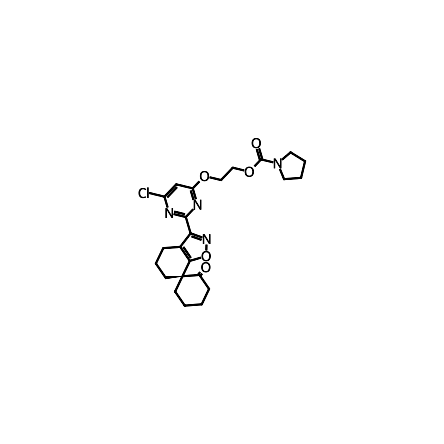 O=C(OCCOc1cc(Cl)nc(-c2noc3c2CCC[C@@]32CCCCC2=O)n1)N1CCCC1